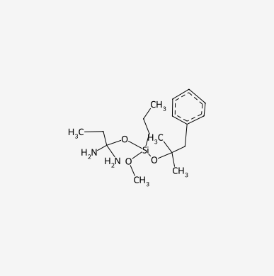 CCC[Si](OC)(OC(C)(C)Cc1ccccc1)OC(N)(N)CC